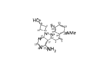 C=C(Cc1nn([C@H]2C[C@H](O)C2)c2ncnc(N)c12)c1cc(F)ccc1NC